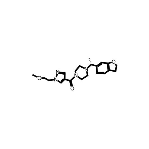 COCCn1cc(C(=O)N2CCN([C@H](C)c3ccc4c(c3)OCC4)CC2)cn1